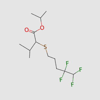 CC(C)OC(=O)C(SCCCC(F)(F)C(F)F)C(C)C